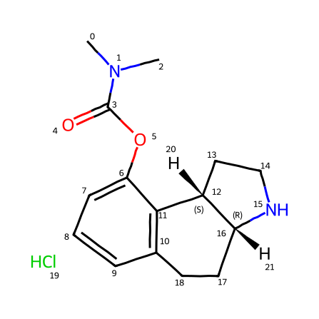 CN(C)C(=O)Oc1cccc2c1[C@@H]1CCN[C@@H]1CC2.Cl